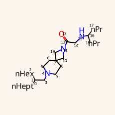 CCCCCCCC(CCCCCC)CN1CCC2(CC1)CN(C(=O)CNC(CCC)CCC)C2